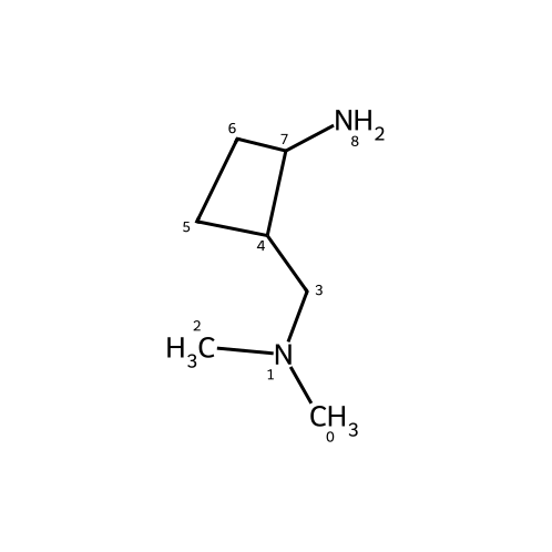 CN(C)CC1CCC1N